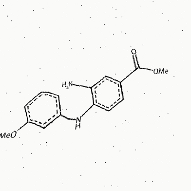 COC(=O)c1ccc(Nc2cccc(OC)c2)c(N)c1